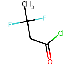 CC(F)(F)CC(=O)Cl